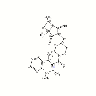 CO/C(C)=C(/C(=O)N1CCC(CN2C(=N)N3C(C)CC3(C)C2=O)CC1)C(C)c1ccccc1